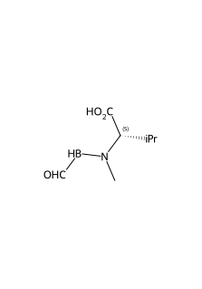 CC(C)[C@@H](C(=O)O)N(C)BC=O